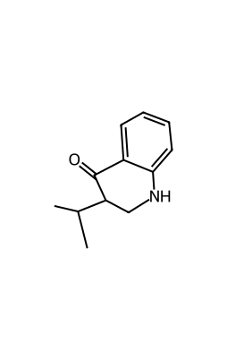 CC(C)C1CNc2ccccc2C1=O